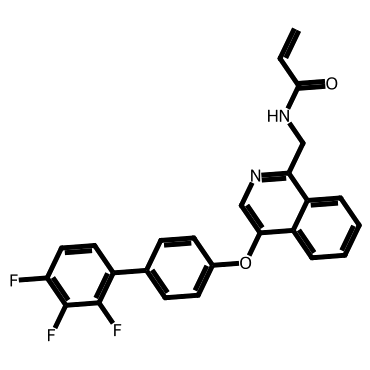 C=CC(=O)NCc1ncc(Oc2ccc(-c3ccc(F)c(F)c3F)cc2)c2ccccc12